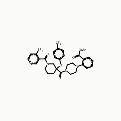 COC(=O)c1ccccc1N1CCN(C(=O)C2(Oc3ccc(C(F)(F)F)cc3)CCCN(C(=O)c3cnccc3C(F)(F)F)C2)CC1